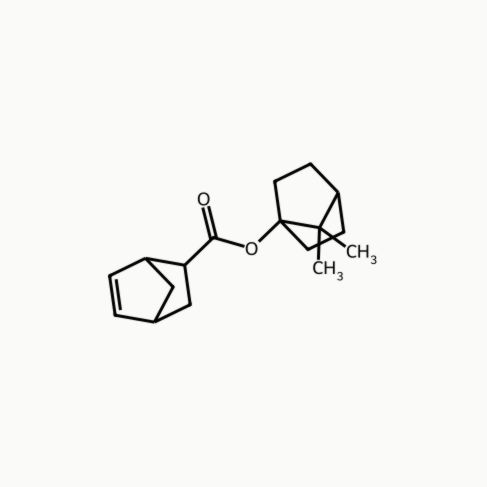 CC1(C)C2CCC1(OC(=O)C1CC3C=CC1C3)CC2